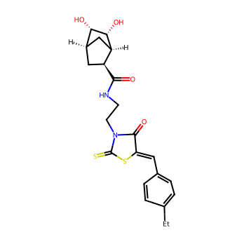 CCc1ccc(/C=C2\SC(=S)N(CCNC(=O)[C@H]3C[C@@H]4C[C@H]3[C@@H](O)[C@H]4O)C2=O)cc1